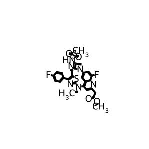 CCN(c1nc(-c2ccc(F)cc2)c(C#N)s1)c1cc(CC(=O)OC)nc2c(F)cc(N3CC(NS(C)(=O)=O)C3)cc12